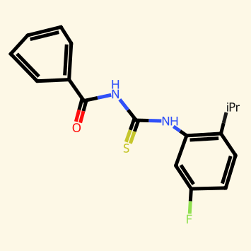 CC(C)c1ccc(F)cc1NC(=S)NC(=O)c1ccccc1